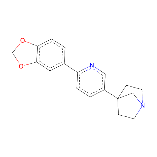 c1cc2c(cc1-c1ccc(C34CCN(CC3)C4)cn1)OCO2